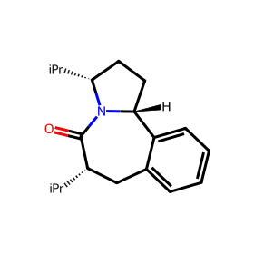 CC(C)[C@H]1Cc2ccccc2[C@H]2CC[C@@H](C(C)C)N2C1=O